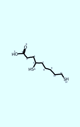 O=C(O)CCC(S)CCCCCS